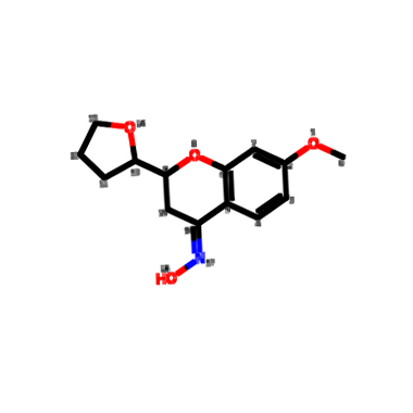 COc1ccc2c(c1)OC(C1CCCO1)CC2=NO